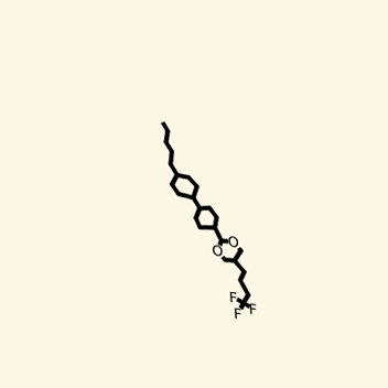 CCCCCC1CCC(C2CCC(C3OCC(CCCC(F)(F)F)CO3)CC2)CC1